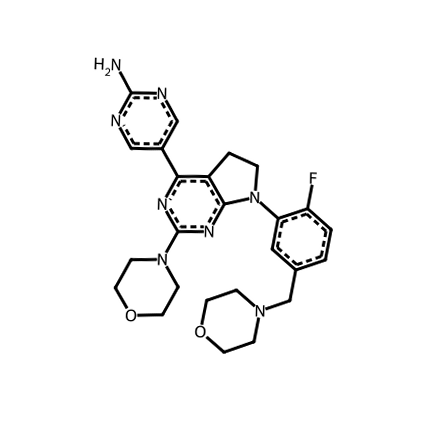 Nc1ncc(-c2nc(N3CCOCC3)nc3c2CCN3c2cc(CN3CCOCC3)ccc2F)cn1